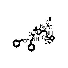 CCOC(=O)n1nc2c(c1NC(=O)C1(S(C)(C)C)CCC1)CN(C(=O)N[C@H](COCc1ccccc1)c1ccccc1)C2(C)C